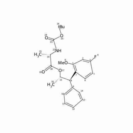 COc1cc(F)ccc1[C@@H](c1ccccc1)[C@H](C)OC(=O)[C@H](C)NC(=O)OC(C)(C)C